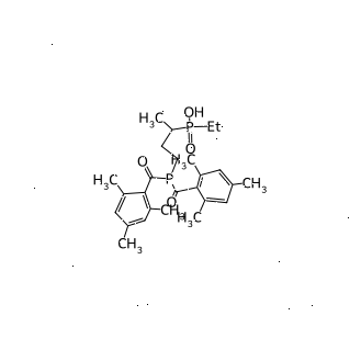 CCP(=O)(O)C(C)CCP(C(=O)c1c(C)cc(C)cc1C)C(=O)c1c(C)cc(C)cc1C